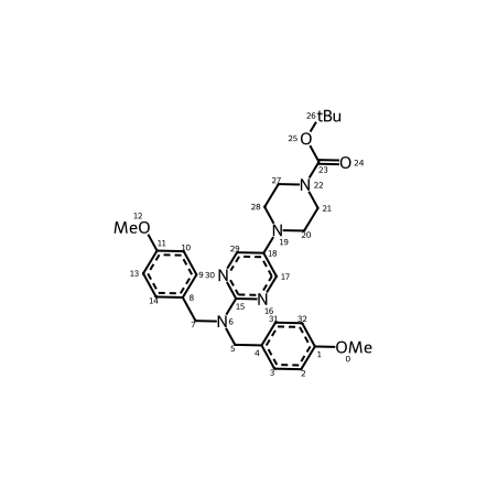 COc1ccc(CN(Cc2ccc(OC)cc2)c2ncc(N3CCN(C(=O)OC(C)(C)C)CC3)cn2)cc1